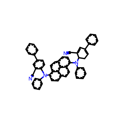 N#CC1=CC(c2ccccc2)=CCC1N(c1ccccc1)c1ccc2ccc3c(N(c4ccccc4)c4ccc(-c5ccccc5)cc4C#N)ccc4ccc1c2c43